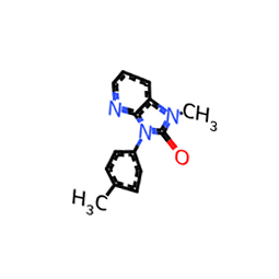 Cc1ccc(-n2c(=O)n(C)c3cccnc32)cc1